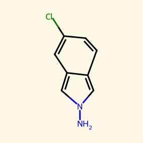 Nn1cc2ccc(Cl)cc2c1